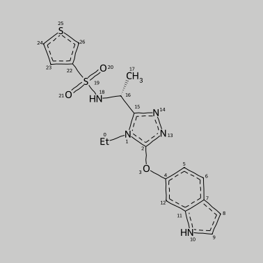 CCn1c(Oc2ccc3cc[nH]c3c2)nnc1[C@@H](C)NS(=O)(=O)c1ccsc1